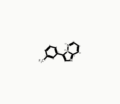 FC(F)(F)c1cccc(-c2cnc3cccnn23)c1